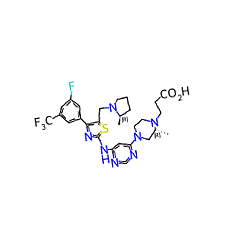 C[C@@H]1CN(c2cc(Nc3nc(-c4cc(F)cc(C(F)(F)F)c4)c(CN4CCC[C@H]4C)s3)ncn2)CCN1CCC(=O)O